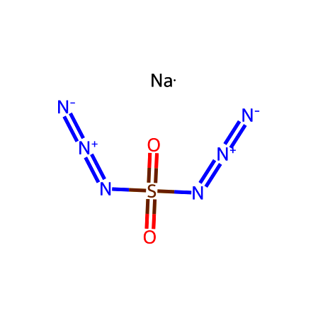 [N-]=[N+]=NS(=O)(=O)N=[N+]=[N-].[Na]